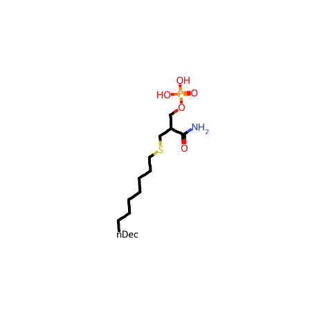 CCCCCCCCCCCCCCCCCSCC(COP(=O)(O)O)C(N)=O